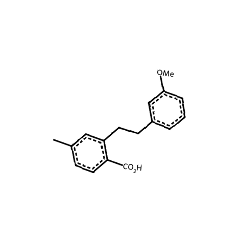 COc1cccc(CCc2cc(C)ccc2C(=O)O)c1